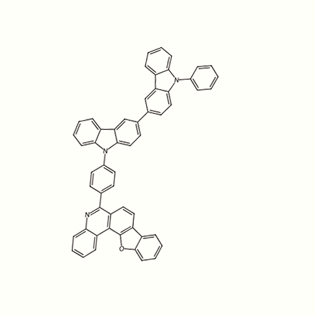 c1ccc(-n2c3ccccc3c3cc(-c4ccc5c(c4)c4ccccc4n5-c4ccc(-c5nc6ccccc6c6c5ccc5c7ccccc7oc56)cc4)ccc32)cc1